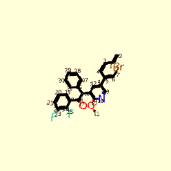 C=C(Br)/C=C\C(=C/C)c1cnc(OC)c(C(C(=O)c2cccc(F)c2F)c2ccccc2)c1